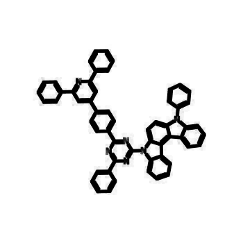 c1ccc(-c2cc(-c3ccc(-c4nc(-c5ccccc5)nc(-n5c6ccccc6c6c7c8ccccc8n(-c8ccccc8)c7ccc65)n4)cc3)cc(-c3ccccc3)n2)cc1